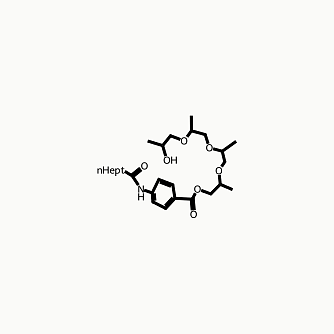 CCCCCCCC(=O)Nc1ccc(C(=O)OCC(C)OCC(C)OCC(C)OCC(C)O)cc1